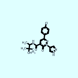 CC(NC(=O)c1cc(-c2ccc(Cl)cc2)nn(-c2cn[nH]c2)c1=O)C(C)(C)O